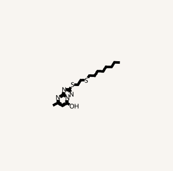 CCCCCCCCSCCSc1nc2nc(C)cc(O)n2n1